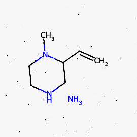 C=CC1CNCCN1C.N